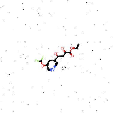 CCOC(=O)C(=O)C=C([O-])c1cncc(OC(F)F)c1.[Li+]